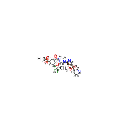 CC(Oc1ccc(S(C)(=O)=O)cc1C(=O)N1CCN(c2ncc(S(=O)(=O)c3cccnc3)s2)CC1)C(F)(F)F